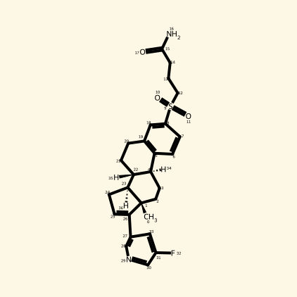 C[C@]12CC[C@@H]3c4ccc(S(=O)(=O)CCCC(N)=O)cc4CC[C@H]3[C@@H]1CC=C2c1cncc(F)c1